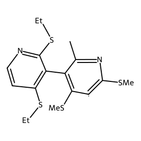 CCSc1ccnc(SCC)c1-c1c(SC)[c]c(SC)nc1C